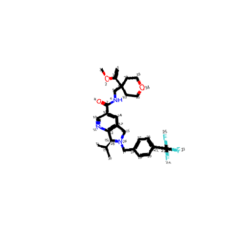 C=C(OC)C1(CNC(=O)c2cnc3c(c2)CN(Cc2ccc(C(F)(F)F)cc2)[C@H]3C(C)C)CCOCC1